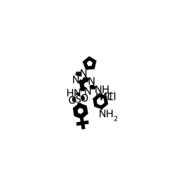 CC(C)(C)c1ccc(S(=O)(=O)Nc2nc(N[C@H]3CC[C@H](N)CC3)nc3c2ncn3C2CCCC2)cc1.Cl.Cl